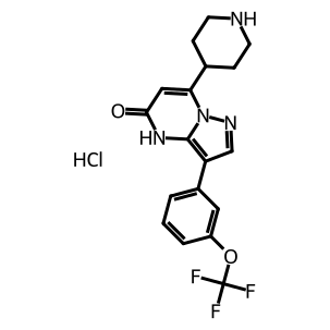 Cl.O=c1cc(C2CCNCC2)n2ncc(-c3cccc(OC(F)(F)F)c3)c2[nH]1